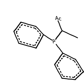 CC(=O)C(C)P(c1ccccc1)c1ccccc1